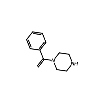 C=C(c1ccccc1)N1CCNCC1